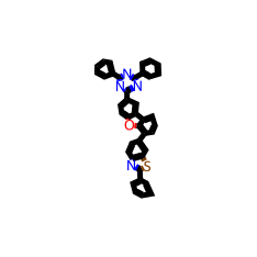 c1ccc(-c2nc(-c3ccccc3)nc(-c3ccc4oc5c(-c6ccc7nc(-c8ccccc8)sc7c6)cccc5c4c3)n2)cc1